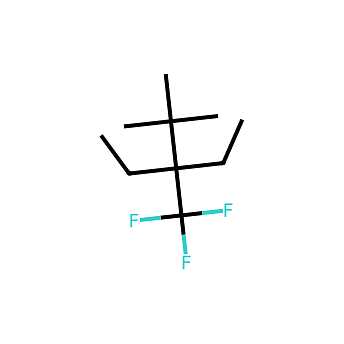 CCC(CC)(C(C)(C)C)C(F)(F)F